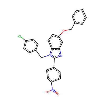 O=[N+]([O-])c1ccc(-c2nc3cc(OCc4ccccc4)ccc3n2Cc2ccc(Cl)cc2)cc1